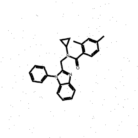 Cc1ccc(C(=O)N(Cc2nc3ccccc3n2-c2ccccc2)C2CC2)c(C)c1